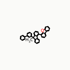 CC1(c2cccc(-c3ccccc3)c2)c2ccccc2-c2c(-c3cccc4c3oc3ccccc34)cccc21